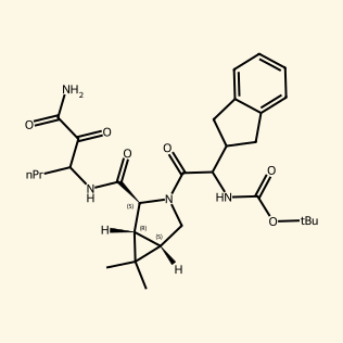 CCCC(NC(=O)[C@@H]1[C@@H]2[C@H](CN1C(=O)C(NC(=O)OC(C)(C)C)C1Cc3ccccc3C1)C2(C)C)C(=O)C(N)=O